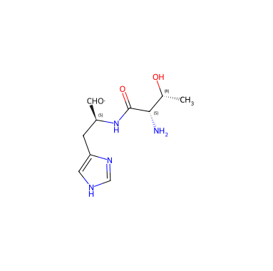 C[C@@H](O)[C@H](N)C(=O)N[C@H]([C]=O)Cc1c[nH]cn1